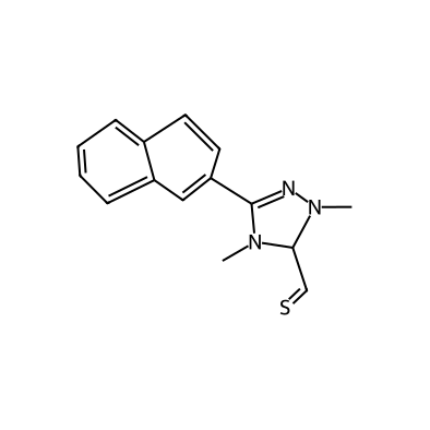 CN1N=C(c2ccc3ccccc3c2)N(C)C1C=S